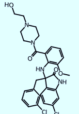 COc1cccc(C(=O)N2CCN(CCO)CC2)c1NC1(Cc2cccc(Cl)c2)C(=O)Nc2cc(Cl)ccc21